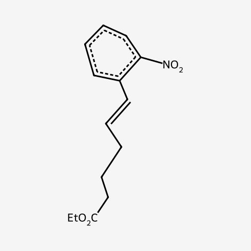 CCOC(=O)CCCC=Cc1ccccc1[N+](=O)[O-]